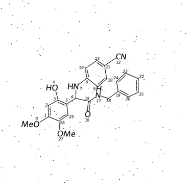 COc1cc(O)c(C(Nc2ccc(C#N)cc2)C(=O)NCc2ccccc2)cc1OC